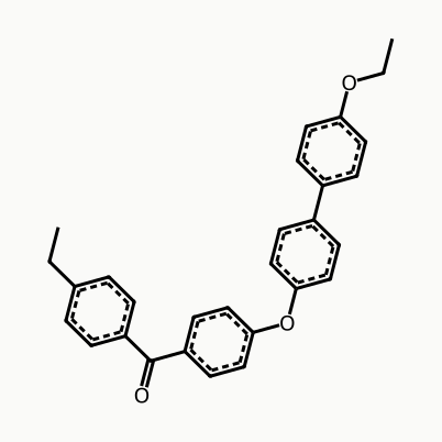 CCOc1ccc(-c2ccc(Oc3ccc(C(=O)c4ccc(CC)cc4)cc3)cc2)cc1